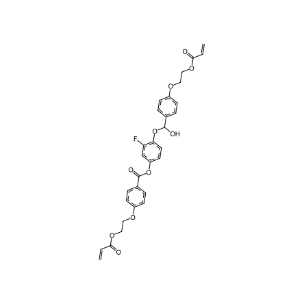 C=CC(=O)OCCOc1ccc(C(=O)Oc2ccc(OC(O)c3ccc(OCCOC(=O)C=C)cc3)c(F)c2)cc1